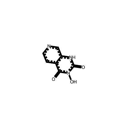 O=c1[nH]c2cnccc2c(=O)n1O